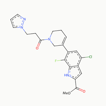 COC(=O)c1cc2c(Cl)cc(C3=CCCN(C(=O)CCn4cccn4)C3)c(F)c2[nH]1